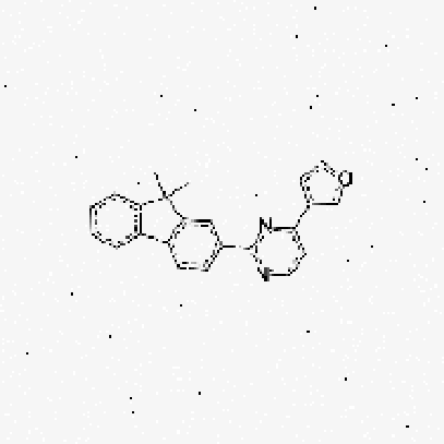 CC1(C)c2ccccc2-c2ccc(-c3nccc(-c4ccoc4)n3)cc21